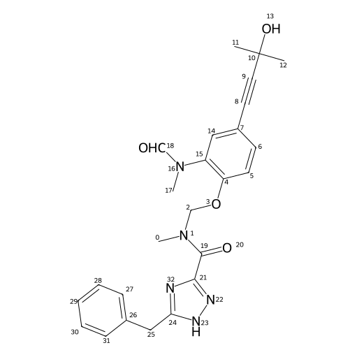 CN(COc1ccc(C#CC(C)(C)O)cc1N(C)C=O)C(=O)c1n[nH]c(Cc2ccccc2)n1